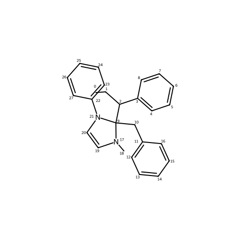 CCC(c1ccccc1)C1(Cc2ccccc2)N(C)C=CN1c1ccccc1